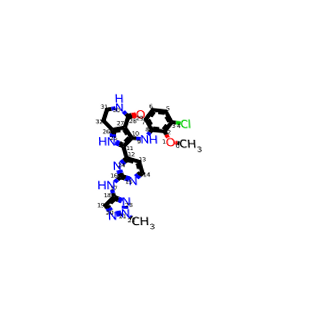 COc1c(Cl)cccc1Nc1c(-c2ccnc(Nc3cnn(C)n3)n2)[nH]c2c1C(=O)NCC2